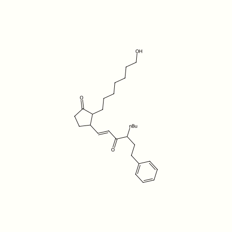 CCCCC(CCc1ccccc1)C(=O)C=CC1CCC(=O)C1CCCCCCCO